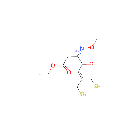 CCOC(=O)C/C(=N/OC)C(=O)C=C(CS)CS